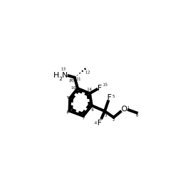 COCC(F)(F)c1cccc([C@@H](C)N)c1F